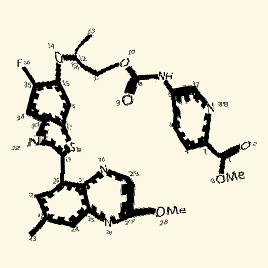 COC(=O)c1ccc(NC(=O)OC[C@H](C)Oc2cc3sc(-c4cc(C)cc5nc(OC)cnc45)nc3cc2F)cn1